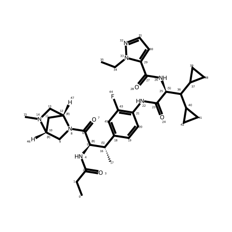 CCC(=O)N[C@@H](C(=O)N1C[C@H]2C[C@@H]1CN2C)[C@@H](C)c1ccc(NC(=O)[C@@H](NC(=O)c2ccnn2CC)C(C2CC2)C2CC2)c(F)c1